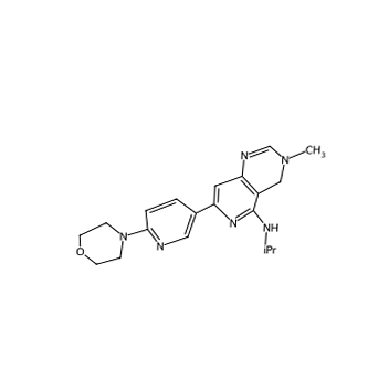 CC(C)Nc1nc(-c2ccc(N3CCOCC3)nc2)cc2c1CN(C)C=N2